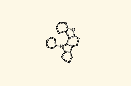 c1ccc(-n2c3ccccc3c3ccc4oc5ccccc5c4c32)cc1